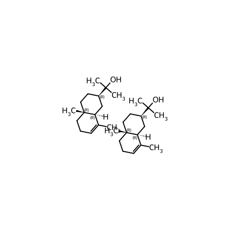 CC1=CCC[C@]2(C)CC[C@@H](C(C)(C)O)C[C@@H]12.CC1=CCC[C@]2(C)CC[C@@H](C(C)(C)O)C[C@@H]12